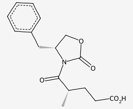 C[C@@H](CCC(=O)O)C(=O)N1C(=O)OC[C@H]1Cc1ccccc1